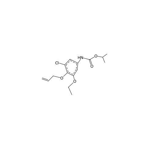 C=CCOc1c(Cl)cc(NC(=O)OC(C)C)cc1OCC